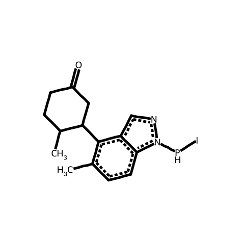 Cc1ccc2c(cnn2PI)c1C1CC(=O)CCC1C